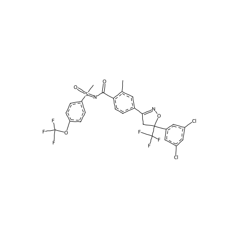 Cc1cc(C2=NOC(c3cc(Cl)cc(Cl)c3)(C(F)(F)F)C2)ccc1C(=O)N=S(C)(=O)c1ccc(OC(F)(F)F)cc1